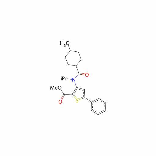 COC(=O)c1sc(-c2ccccc2)cc1N(C(=O)C1CCC(C)CC1)C(C)C